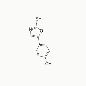 Oc1ccc(-c2cnc(S)o2)cc1